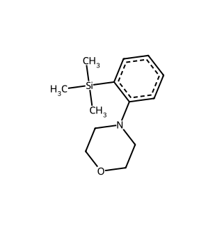 C[Si](C)(C)c1ccccc1N1CCOCC1